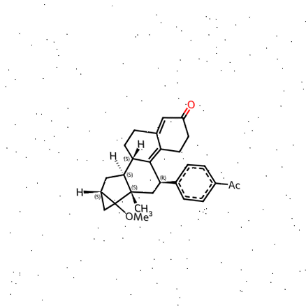 COC12C[C@@H]1C[C@H]1[C@@H]3CCC4=CC(=O)CCC4=C3[C@@H](c3ccc(C(C)=O)cc3)C[C@@]12C